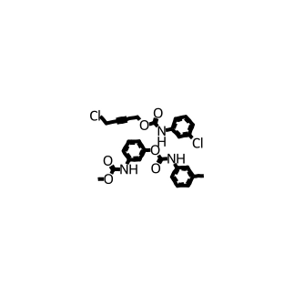 COC(=O)Nc1cccc(OC(=O)Nc2cccc(C)c2)c1.O=C(Nc1cccc(Cl)c1)OCC#CCCl